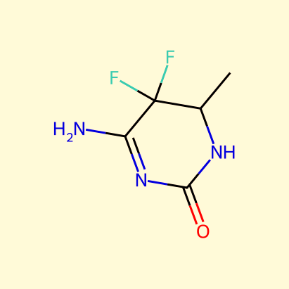 CC1NC(=O)N=C(N)C1(F)F